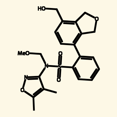 COCN(c1noc(C)c1C)S(=O)(=O)c1ccccc1-c1ccc(CO)c2c1COC2